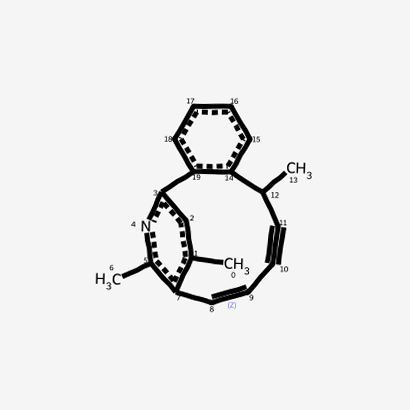 Cc1cc2nc(C)c1/C=C\C#CC(C)c1ccccc1-2